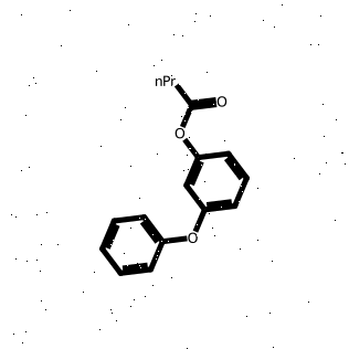 CCCC(=O)Oc1cccc(Oc2ccccc2)c1